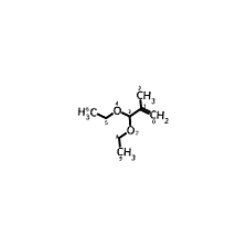 C=C(C)C(OCC)OCC